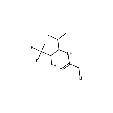 CC(C)C(NC(=O)CCl)C(O)C(F)(F)F